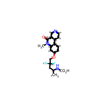 CC(CC(F)(F)COc1ccc2c3ccncc3c(=O)n(C)c2c1)NC(=O)O